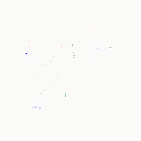 CCN(CC)C(=O)C(F)(F)Oc1cc(F)c([N+](=O)[O-])cc1N=O